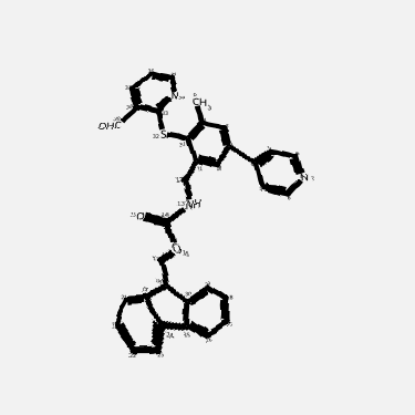 Cc1cc(-c2ccncc2)cc(CNC(=O)OCC2c3ccccc3-c3ccccc32)c1Sc1ncccc1C=O